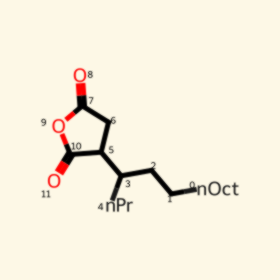 CCCCCCCCCCC(CCC)C1CC(=O)OC1=O